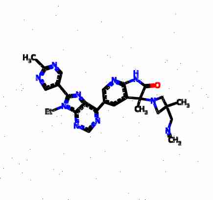 C=NCC1(C)CN(C2(C)C(=O)Nc3ncc(-c4ncnc5c4nc(-c4cnc(C)nc4)n5CC)cc32)C1